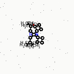 CC(C)(C)c1cc(-c2ccc3c(c2)c2c4c5cc6c(cc5n5c7cc8c(cc7c(c7c9cc(-c%10cc(C(C)(C)C)cc(C(C)(C)C)c%10)ccc9n3c27)c45)-c2ccccc2-c2ccccc2-c2ccccc2-8)-c2ccccc2-c2ccccc2-c2ccccc2-6)cc(C(C)(C)C)c1